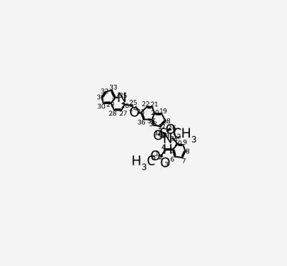 COC(=O)Cc1ccccc1C(C)NS(=O)(=O)c1ccc2ccc(OCc3ccc4ccccc4n3)cc2c1